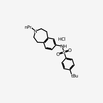 CCCN1CCc2ccc(NS(=O)(=O)c3ccc(C(C)(C)C)cc3)cc2CC1.Cl